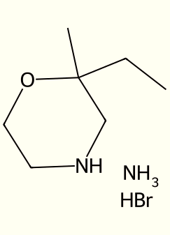 Br.CCC1(C)CNCCO1.N